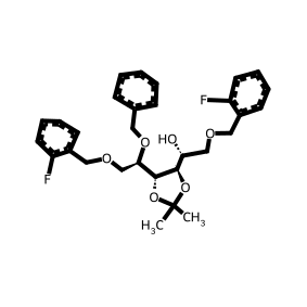 CC1(C)O[C@H]([C@H](O)COCc2ccccc2F)[C@@H]([C@@H](COCc2ccccc2F)OCc2ccccc2)O1